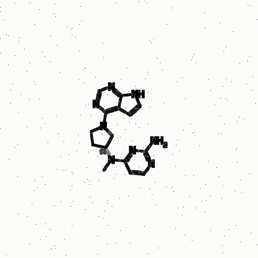 CN(c1ccnc(N)n1)[C@@H]1CCN(c2ncnc3[nH]ccc23)C1